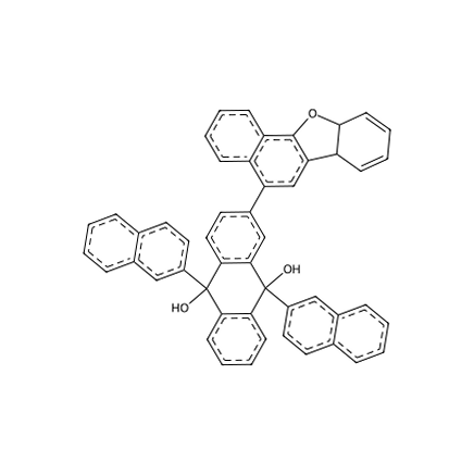 OC1(c2ccc3ccccc3c2)c2ccccc2C(O)(c2ccc3ccccc3c2)c2cc(-c3cc4c(c5ccccc35)OC3C=CC=CC43)ccc21